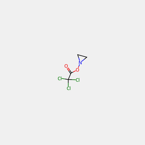 O=C(ON1CC1)C(Cl)(Cl)Cl